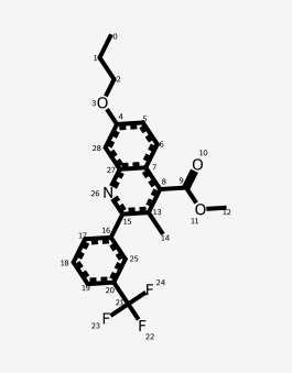 CCCOc1ccc2c(C(=O)OC)c(C)c(-c3cccc(C(F)(F)F)c3)nc2c1